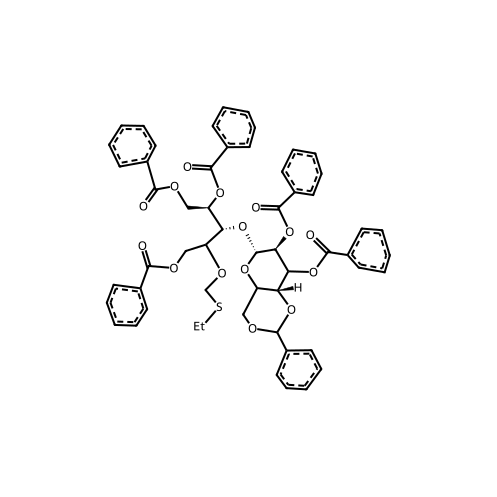 CCSCOC(COC(=O)c1ccccc1)[C@@H](O[C@H]1OC2COC(c3ccccc3)O[C@H]2C(OC(=O)c2ccccc2)[C@@H]1OC(=O)c1ccccc1)[C@@H](COC(=O)c1ccccc1)OC(=O)c1ccccc1